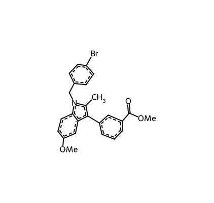 COC(=O)c1cccc(-c2c(C)n(Cc3ccc(Br)cc3)c3ccc(OC)cc23)c1